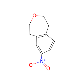 O=[N+]([O-])c1ccc2c(c1)CCOCC2